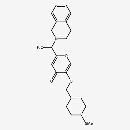 CSN1CCC(COc2coc(C(N3CCc4ccccc4C3)C(F)(F)F)cc2=O)CC1